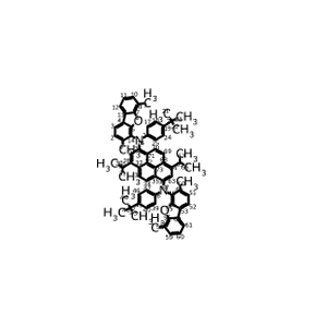 Cc1ccc2c(oc3c(C)cccc32)c1N(c1ccc(C(C)(C)C)cc1)c1cc(C(C)C)c2ccc3c(N(c4ccc(C(C)(C)C)cc4)c4c(C)ccc5c4oc4c(C)cccc45)cc(C(C)C)c4ccc1c2c43